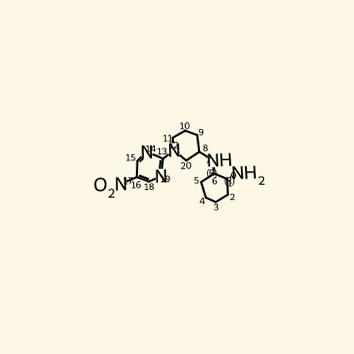 N[C@@H]1CCCC[C@H]1NC1CCCN(c2ncc([N+](=O)[O-])cn2)C1